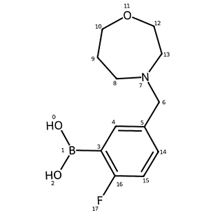 OB(O)c1cc(CN2CCCOCC2)ccc1F